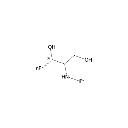 CCC[C@H](O)C(CO)NC(C)C